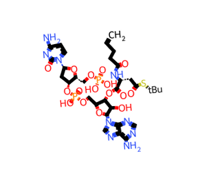 C=CCCC(=O)N[C@H](CC(=O)SC(C)(C)C)C(=O)OC1C(COP(=O)(O)O[C@H]2C[C@H](n3ccc(N)nc3=O)O[C@@H]2COP(=O)(O)O)OC(n2cnc3c(N)ncnc32)C1O